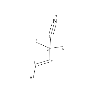 [CH2]C=CC(C)(C)C#N